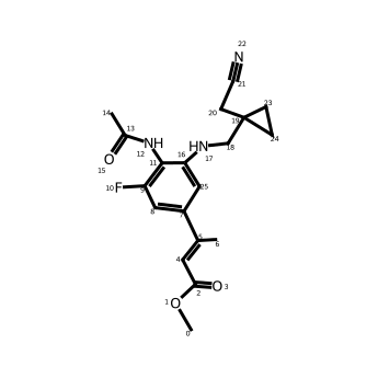 COC(=O)/C=C(\C)c1cc(F)c(NC(C)=O)c(NCC2(CC#N)CC2)c1